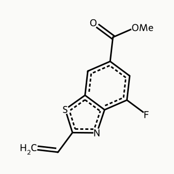 C=Cc1nc2c(F)cc(C(=O)OC)cc2s1